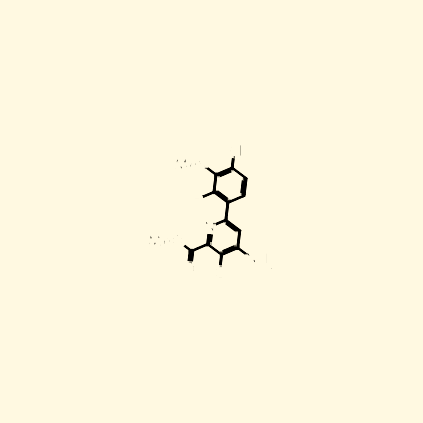 COC(=O)c1nc(-c2ccc(Cl)c(SC)c2F)cc(N)c1Cl